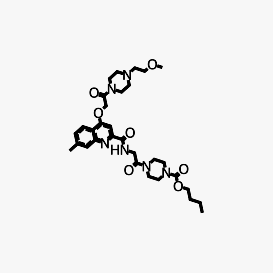 CCCCOC(=O)N1CCN(C(=O)CNC(=O)c2cc(OCC(=O)N3CCN(CCOC)CC3)c3ccc(C)cc3n2)CC1